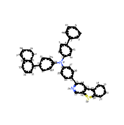 c1ccc(-c2ccc(N(c3ccc(-c4cc5c(cn4)sc4ccccc45)cc3)c3ccc(-c4cccc5ccccc45)cc3)cc2)cc1